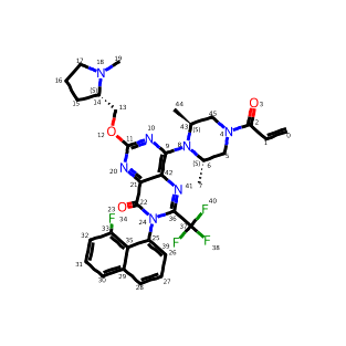 C=CC(=O)N1C[C@H](C)N(c2nc(OC[C@@H]3CCCN3C)nc3c(=O)n(-c4cccc5cccc(F)c45)c(C(F)(F)F)nc23)[C@@H](C)C1